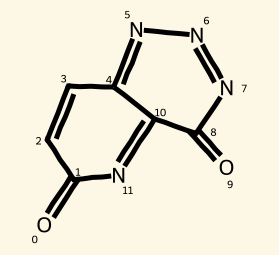 O=C1C=CC2=NN=NC(=O)C2=N1